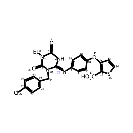 CCn1c(=O)[nH]/c(=N\c2ccc(Oc3ccsc3C(=O)O)cc2)n(Cc2ccc(Cl)cc2)c1=O